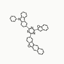 c1ccc(-n2c3ccccc3c3cc(-c4nc(-c5ccc6oc7cc8ccccc8cc7c6c5)nc(-c5cc6ccccc6o5)n4)ccc32)cc1